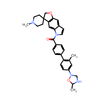 Cc1cc(N2CNC(C)O2)ccc1-c1ccc(C(=O)n2ccc3cc4c(cc32)C2(CCN(C)CC2)CO4)cc1